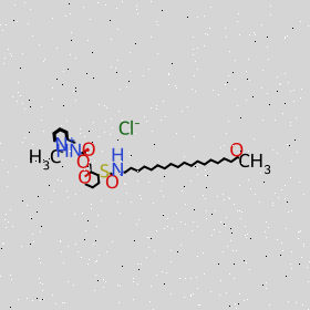 CC[n+]1ccccc1CNC(=O)OC[C@@H]1OCCC[C@@H]1SC(=O)NCCCCCCCCCCCCCCCCCC(C)=O.[Cl-]